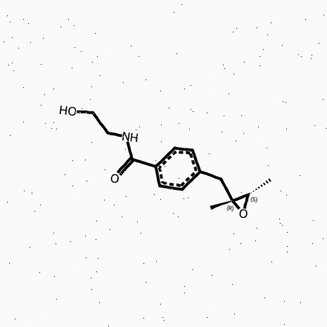 C[C@@H]1O[C@]1(C)Cc1ccc(C(=O)NCCO)cc1